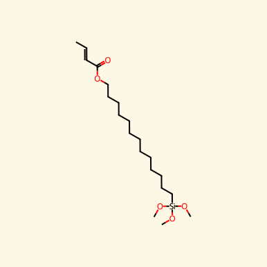 CC=CC(=O)OCCCCCCCCCCCCC[Si](OC)(OC)OC